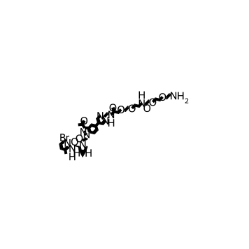 CC(=O)c1nn(CC(=O)N2C[C@H]3C[C@H]3[C@H]2C(=O)Nc2nc(Br)ccc2C)c2ccc(-c3cnc(CNC(=O)COCCOCCNC(=O)COCCOCCN)nc3)cc12